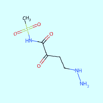 CS(=O)(=O)NC(=O)C(=O)CCNN